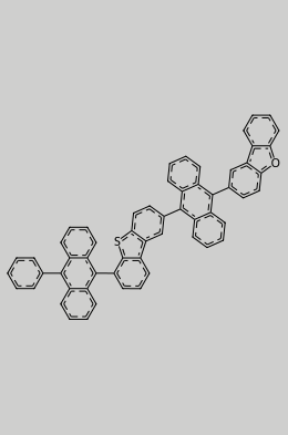 c1ccc(-c2c3ccccc3c(-c3cccc4c3sc3ccc(-c5c6ccccc6c(-c6ccc7oc8ccccc8c7c6)c6ccccc56)cc34)c3ccccc23)cc1